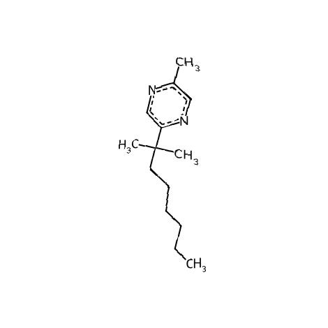 CCCCCCC(C)(C)c1cnc(C)cn1